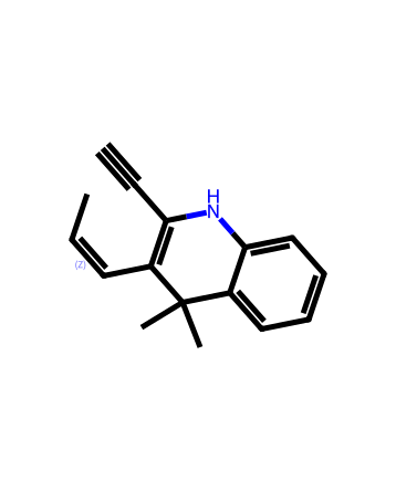 C#CC1=C(/C=C\C)C(C)(C)c2ccccc2N1